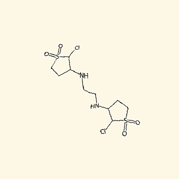 O=S1(=O)CCC(NCCNC2CCS(=O)(=O)C2Cl)C1Cl